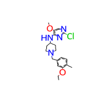 CCOc1cc(CN2CCC(Nc3nc(Cl)ncc3OC)CC2)ccc1C